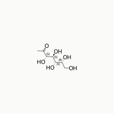 CC(=O)[C@@H](O)[C@@H](O)[C@@H](O)[C@H](O)CO